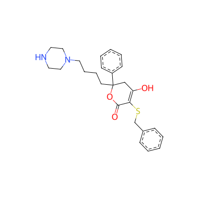 O=C1OC(CCCCN2CCNCC2)(c2ccccc2)CC(O)=C1SCc1ccccc1